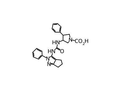 O=C(Nc1c2c(nn1-c1ccccc1)CCC2)NC1CN(C(=O)O)CC1c1ccccc1